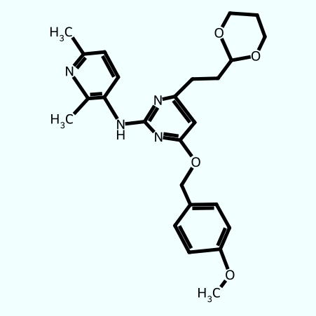 COc1ccc(COc2cc(CCC3OCCCO3)nc(Nc3ccc(C)nc3C)n2)cc1